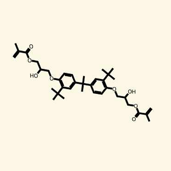 C=C(C)C(=O)OCC(O)COc1ccc(C(C)(C)c2ccc(OCC(O)COC(=O)C(=C)C)c(C(C)(C)C)c2)cc1C(C)(C)C